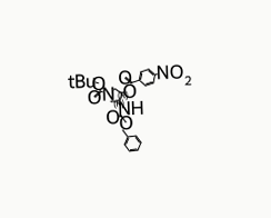 CC(C)(C)OC(=O)N1C[C@@H](NC(=O)OCc2ccccc2)[C@H](OC(=O)c2ccc([N+](=O)[O-])cc2)C1